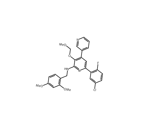 COCOc1c(-c2cccnc2)cc(-c2cc(Cl)ccc2F)nc1NCc1ccc(OC)cc1OC